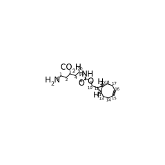 NCCCC[C@H](NC(=O)OCC1[C@H]2CCC#CCC[C@@H]12)C(=O)O